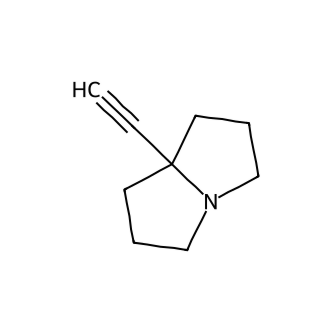 C#CC12CCCN1CCC2